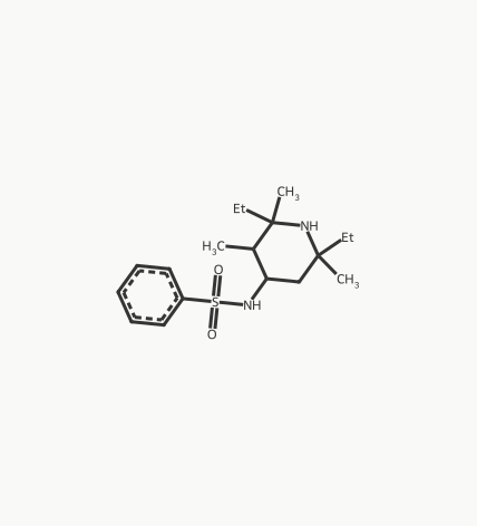 CCC1(C)CC(NS(=O)(=O)c2ccccc2)C(C)C(C)(CC)N1